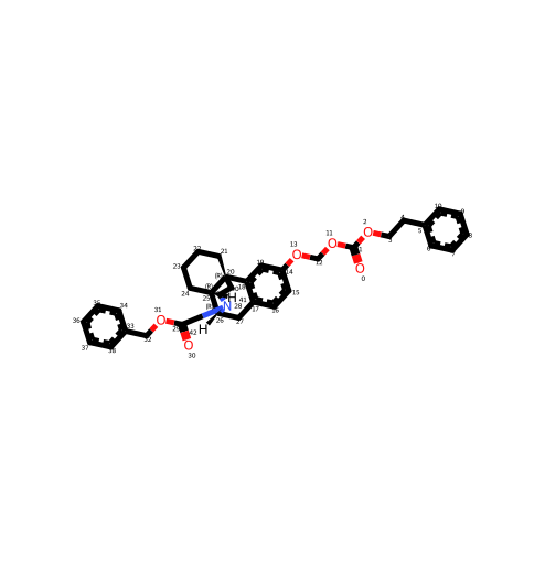 O=C(OCCc1ccccc1)OCOc1ccc2c(c1)[C@@]13CCCC[C@H]1[C@@H](C2)N(C(=O)OCc1ccccc1)CC3